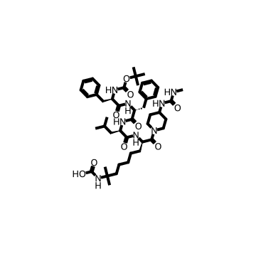 CNC(=O)NC1CCN(C(=O)[C@@H](CCCCCC(C)(C)NC(=O)O)NC(=O)[C@@H](CC(C)C)NC(=O)[C@@H](Cc2ccccc2)NC(=O)[C@@H](Cc2ccccc2)NC(=O)OC(C)(C)C)CC1